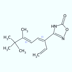 C=C/C(=C\C=C(/C)C(C)(C)C)c1noc(=O)[nH]1